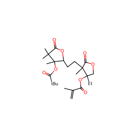 C=C(C)C(=O)OC1(CC)COC(=O)C1(C)CCC1OC(=O)C(C)(C)C1(C)OC(=O)C(C)(C)C